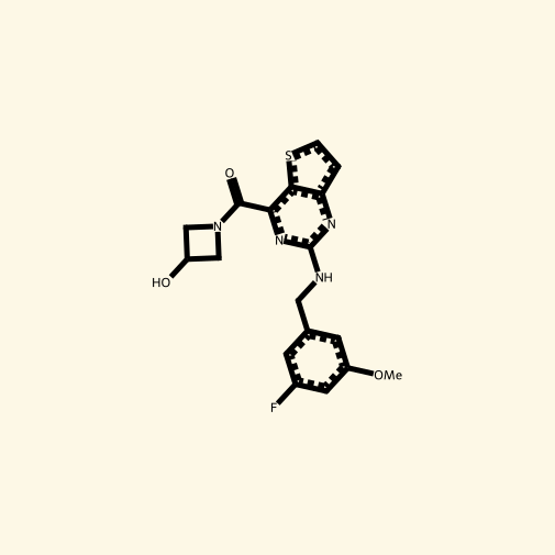 COc1cc(F)cc(CNc2nc(C(=O)N3CC(O)C3)c3sccc3n2)c1